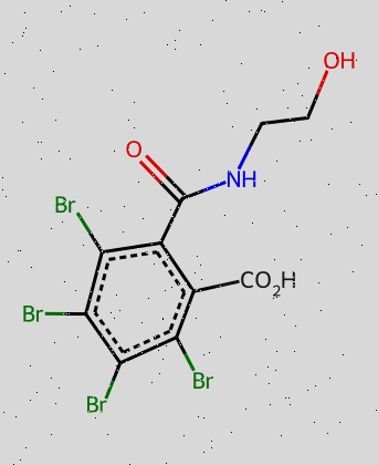 O=C(O)c1c(Br)c(Br)c(Br)c(Br)c1C(=O)NCCO